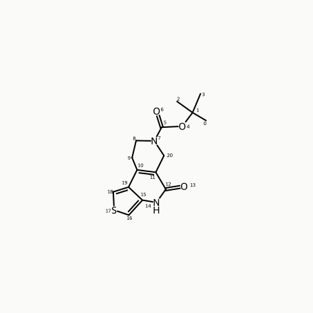 CC(C)(C)OC(=O)N1CCc2c(c(=O)[nH]c3cscc23)C1